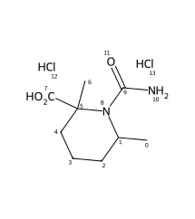 CC1CCCC(C)(C(=O)O)N1C(N)=O.Cl.Cl